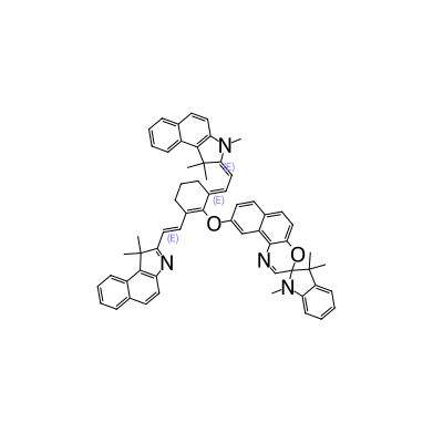 CN1/C(=C/C=C2\CCCC(/C=C/C3=Nc4ccc5ccccc5c4C3(C)C)=C2Oc2ccc3ccc4c(c3c2)N=CC2(O4)N(C)c3ccccc3C2(C)C)C(C)(C)c2c1ccc1ccccc21